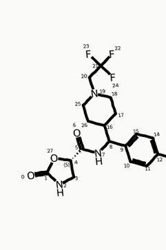 O=C1NC[C@@H](C(=O)NC(c2ccc(Cl)cc2)C2CCN(CC(F)(F)F)CC2)O1